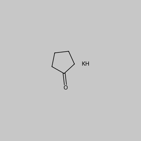 O=C1CCCC1.[KH]